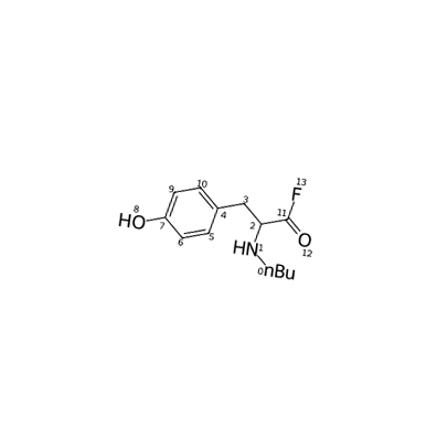 CCCCNC(Cc1ccc(O)cc1)C(=O)F